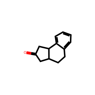 O=C1CC2CCc3ccccc3C2C1